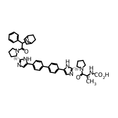 C[C@H](NC(=O)O)C(=O)N1CCC[C@H]1c1ncc(-c2ccc(-c3ccc(-c4cnc([C@@H]5CCCN5C(=O)C(c5ccccc5)N5C6CCC5CC6)[nH]4)cc3)cc2)[nH]1